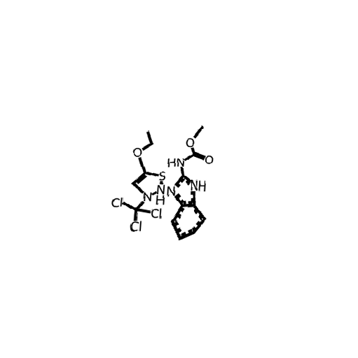 CCOC1=CN(C(Cl)(Cl)Cl)NS1.COC(=O)Nc1nc2ccccc2[nH]1